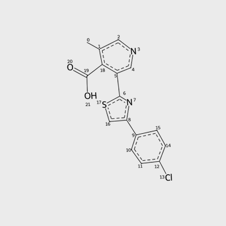 Cc1cncc(-c2nc(-c3ccc(Cl)cc3)cs2)c1C(=O)O